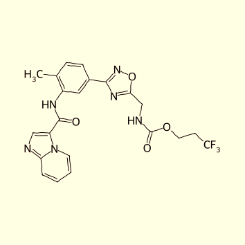 Cc1ccc(-c2noc(CNC(=O)OCCC(F)(F)F)n2)cc1NC(=O)c1cnc2ccccn12